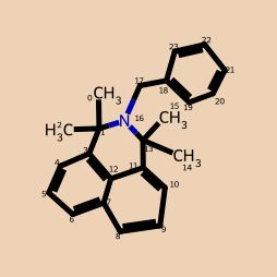 CC1(C)c2cccc3cccc(c23)C(C)(C)N1Cc1ccccc1